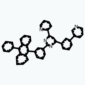 c1ccc(-c2c3ccccc3c(-c3cccc(-c4nc(-c5cccc(-c6cccnc6)c5)cc(-c5ccccn5)n4)c3)c3ccccc23)cc1